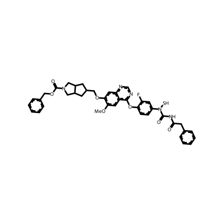 COc1cc2c(Oc3ccc(N(S)C(=O)NC(=O)Cc4ccccc4)cc3F)ncnc2cc1OCC1CC2CN(C(=O)OCc3ccccc3)CC2C1